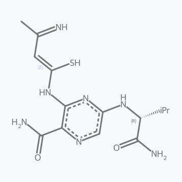 CC(=N)/C=C(\S)Nc1nc(N[C@@H](C(N)=O)C(C)C)cnc1C(N)=O